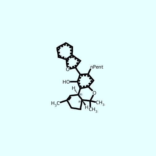 CCCCCc1cc2c(c(O)c1-c1cc3ccccc3o1)[C@@H]1C=C(C)CC[C@H]1C(C)(C)O2